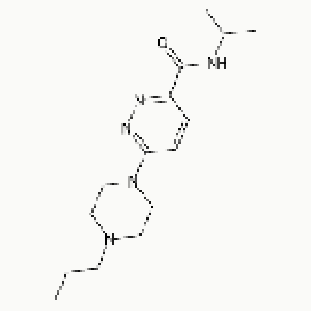 CCCN1CCN(c2ccc(C(=O)NC(C)C)nn2)CC1